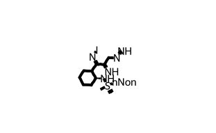 C#S(C)(CCCCCCCCC)N[C@H]1CCCCC1/C(=N/I)C(=N)CN=N